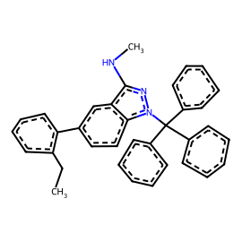 CCc1ccccc1-c1ccc2c(c1)c(NC)nn2C(c1ccccc1)(c1ccccc1)c1ccccc1